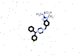 CN(C(=O)O)c1nc2cc(CN3CCN(C(c4ccccc4)c4ccc(F)cc4)CC3)ccc2n1C